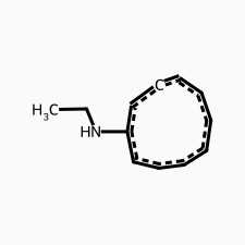 CCNc1ccccccccc1